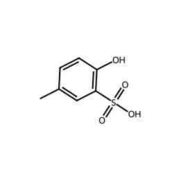 Cc1ccc(O)c(S(=O)(=O)O)c1